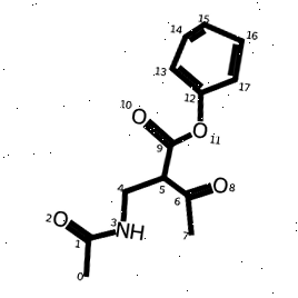 CC(=O)NCC(C(C)=O)C(=O)Oc1ccccc1